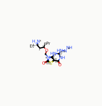 CCCC(C[C@@H](N)CC)OCn1c2c(sc1=O)C(=O)NC(NN=N)N2